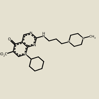 CN1CCN(CCCNc2ncc3c(=O)c(C(=O)O)cn(C4CCCCC4)c3n2)CC1